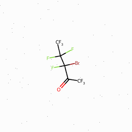 O=C(C(F)(F)F)C(F)(Br)C(F)(F)C(F)(F)F